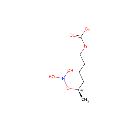 C[C@H](CCCCOC(=O)O)ON(O)O